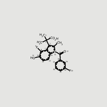 Cc1c(C(C)(C)C(=O)O)c2c(F)c(O)ccc2n1C(=O)c1cccc(F)c1